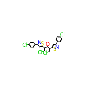 O=C(C(CCl)c1cc(-c2ccc(Cl)cc2)ns1)C(CCl)c1cc(-c2ccc(Cl)cc2)ns1